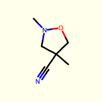 CN1CC(C)(C#N)CO1